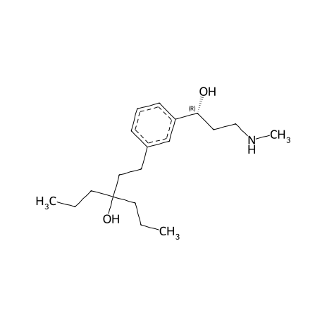 CCCC(O)(CCC)CCc1cccc([C@H](O)CCNC)c1